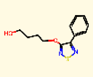 OCCCCOc1nsnc1-c1ccccc1